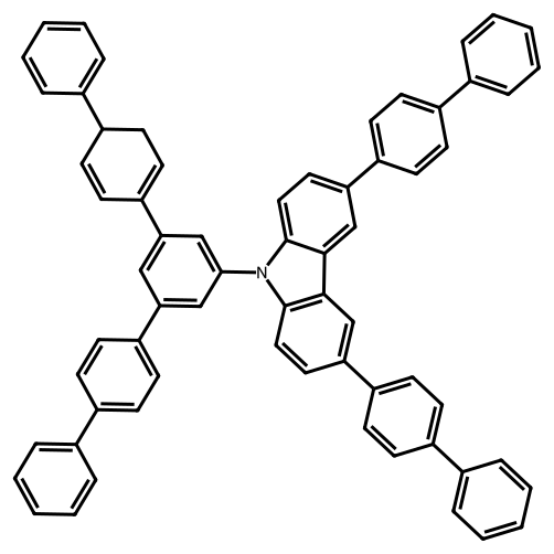 C1=CC(c2ccccc2)CC=C1c1cc(-c2ccc(-c3ccccc3)cc2)cc(-n2c3ccc(-c4ccc(-c5ccccc5)cc4)cc3c3cc(-c4ccc(-c5ccccc5)cc4)ccc32)c1